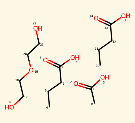 CC(=O)O.CCCC(=O)O.CCCC(=O)O.OCCOCCO